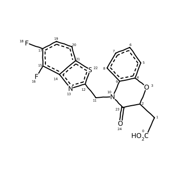 O=C(O)CC1Oc2ccccc2N(Cc2nc3c(F)c(F)ccc3s2)C1=O